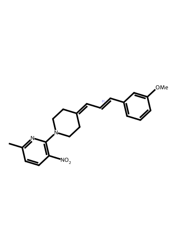 COc1cccc(/C=C/C=C2CCN(c3nc(C)ccc3[N+](=O)[O-])CC2)c1